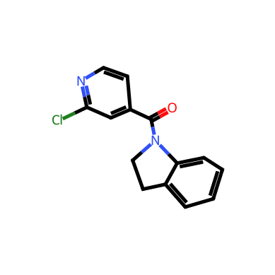 O=C(c1ccnc(Cl)c1)N1CCc2ccccc21